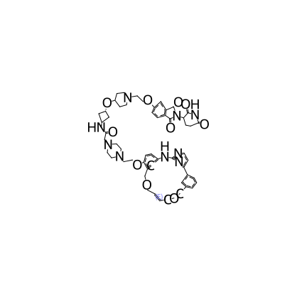 O=C1CCC(N2C(=O)c3ccc(OCCN4CCC(O[C@H]5C[C@H](NC(=O)CN6CCN(CCOc7ccc8cc7COC/C=C/COCc7cccc(c7)-c7ccnc(n7)N8)CC6)C5)CC4)cc3C2=O)C(=O)N1